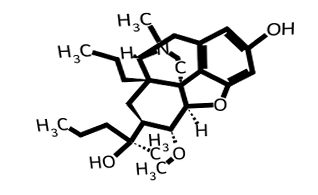 CCC[C@]12C[C@H]([C@@](C)(O)CCC)[C@@H](OC)[C@@H]3Oc4cc(O)cc5c4[C@@]31CCN(C)[C@@H]2C5